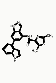 Cc1nc(C(=O)Nc2cc(-c3cccc4[nH]ccc34)cc3[nH]ncc23)c(C)s1